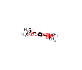 COC(=O)C(C)OC(=O)COc1ccc(OCC(=O)OC(C)C(=O)OC)cc1